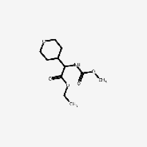 CCOC(=O)C(NC(=O)OC)C1CCOCC1